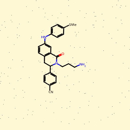 CSc1ccc(Nc2ccc3c(c2)C(=O)N(CCCN)C(c2ccc(C#N)cc2)C3)cc1